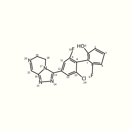 Oc1cccc(F)c1-c1c(F)cc(-c2nnc3n2CCN=C3)cc1Cl